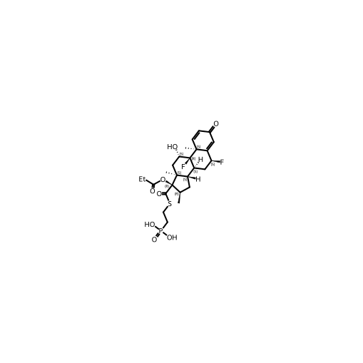 CCC(=O)O[C@]1(C(=O)SCCP(=O)(O)O)[C@H](C)C[C@H]2[C@@H]3C[C@H](F)C4=CC(=O)C=C[C@]4(C)[C@@]3(F)[C@@H](O)C[C@@]21C